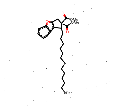 CCCCCCCCCCCCCCCCCCCCCCC1c2c(oc3ccccc23)CC1(C(=O)OC)C(=O)OC